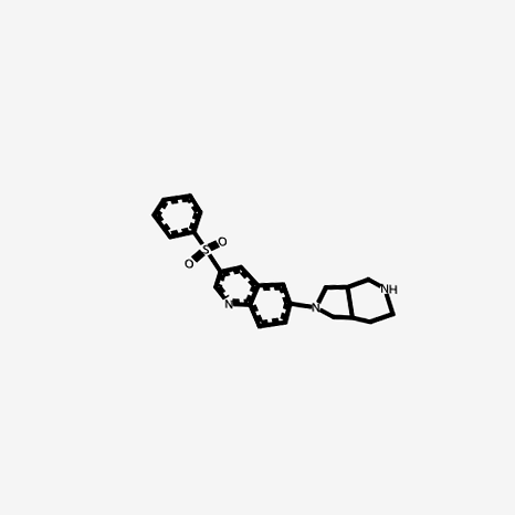 O=S(=O)(c1ccccc1)c1cnc2ccc(N3CC4CCNCC4C3)cc2c1